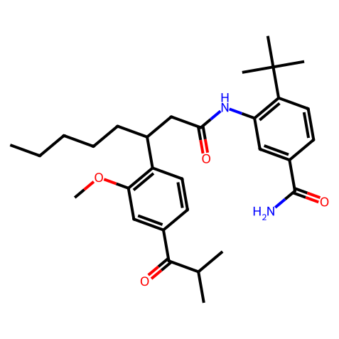 CCCCCC(CC(=O)Nc1cc(C(N)=O)ccc1C(C)(C)C)c1ccc(C(=O)C(C)C)cc1OC